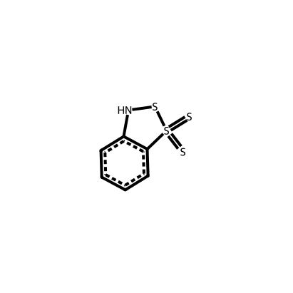 S=S1(=S)SNc2ccccc21